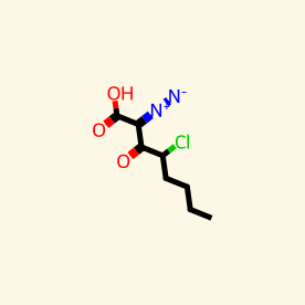 CCCCC(Cl)C(=O)C(=[N+]=[N-])C(=O)O